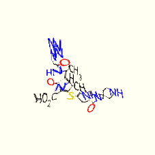 C[C@@H](NC(=O)Cn1cnnn1)[C@H]1C(=O)N2C(C(=O)O)=C(S[C@@H]3CN[C@H](C(=O)N4CC5(CCNCC5)C4)C3)[C@H](C)[C@H]12